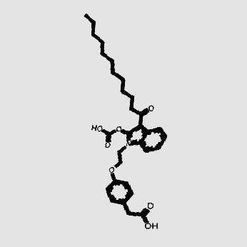 CCCCCCCCCCCC(=O)c1c(OC(=O)O)n(CCOc2ccc(CC(=O)O)cc2)c2ccccc12